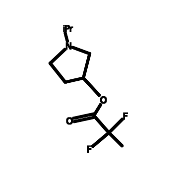 CC(C)N1CCC(OC(=O)C(C)(F)F)C1